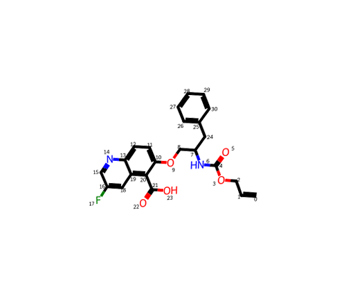 C=CCOC(=O)NC(COc1ccc2ncc(F)cc2c1C(=O)O)Cc1ccccc1